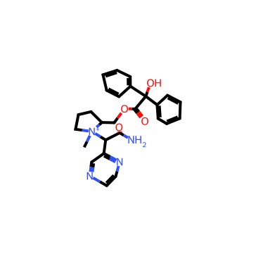 C[N+]1(C(C(N)=O)c2cnccn2)CCCC1COC(=O)C(O)(c1ccccc1)c1ccccc1